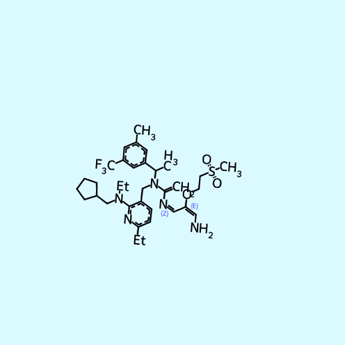 C=C(/N=C\C(=C/N)OCCS(C)(=O)=O)N(Cc1ccc(CC)nc1N(CC)CC1CCCC1)C(C)c1cc(C)cc(C(F)(F)F)c1